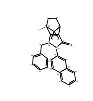 CC1(C)C2CC[C@]1(C)c1c2c(=O)n(-c2ccc3ccccc3c2)n1Cc1ccccc1